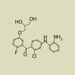 Nc1ccccc1Nc1ccc(C(=O)c2cc(OCC(O)CO)ccc2F)c(Cl)c1